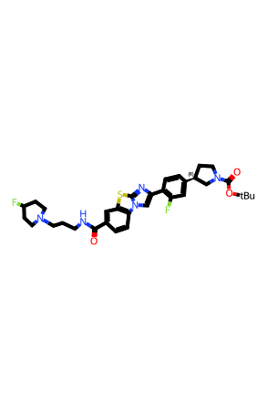 CC(C)(C)OC(=O)N1CC[C@H](c2ccc(-c3cn4c(n3)sc3cc(C(=O)NCCCN5CCC(F)CC5)ccc34)c(F)c2)C1